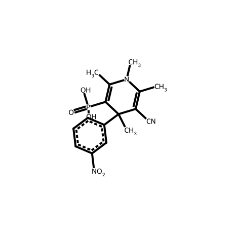 CC1=C(C#N)C(C)(c2cccc([N+](=O)[O-])c2)C(P(=O)(O)O)=C(C)N1C